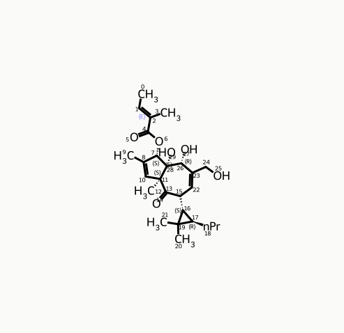 C/C=C(\C)C(=O)O[C@H]1C(C)=C[C@]2(C)C(=O)C([C@@H]3[C@@H](CCC)C3(C)C)C=C(CO)[C@@H](O)[C@]12O